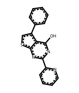 Oc1nc(-c2ccccn2)nc2scc(-c3ccccc3)c12